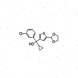 OC(c1cccc(Cl)c1)(c1csc(C2OCCO2)c1)C1CC1